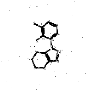 Cc1cccc(-n2ncc3c2CCCC3)c1C